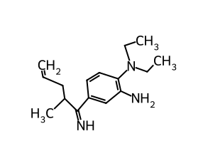 C=CCC(C)C(=N)c1ccc(N(CC)CC)c(N)c1